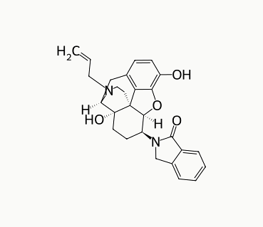 C=CCN1CC[C@]23c4c5ccc(O)c4O[C@H]2[C@@H](N2Cc4ccccc4C2=O)CC[C@@]3(O)[C@H]1C5